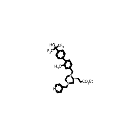 CCOC(=O)CC[C@H]1CN(Cc2ccncc2)CCN1Cc1ccc(-c2ccc(C(O)(C(F)(F)F)C(F)(F)F)cc2)c(C)c1